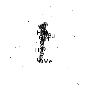 COC(=O)COCCOCCNC(=O)COCCOCCNC(=O)CC[C@H](NC(=O)OCC1c2ccccc2-c2ccccc21)C(=O)OC(C)(C)C